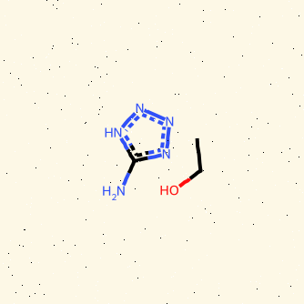 CCO.Nc1nnn[nH]1